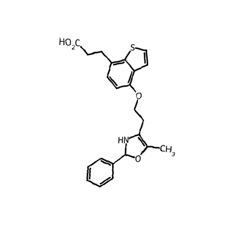 CC1=C(CCOc2ccc(CCC(=O)O)c3sccc23)NC(c2ccccc2)O1